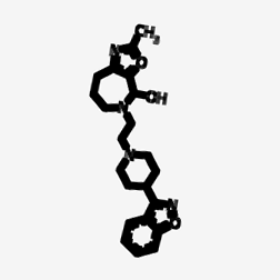 Cc1nc2c(o1)C(O)N(CCN1CCC(c3noc4ccccc34)CC1)CCC2